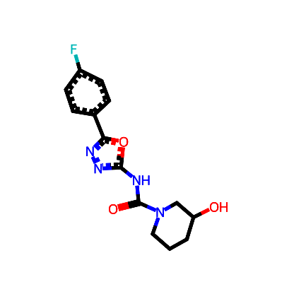 O=C(Nc1nnc(-c2ccc(F)cc2)o1)N1CCCC(O)C1